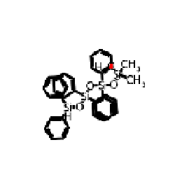 C[Si](C)(C)O[Si](O[Si](O[SiH](c1ccccc1)c1ccccc1)(c1ccccc1)c1ccccc1)(c1ccccc1)c1ccccc1